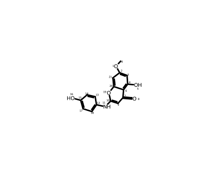 COc1cc(O)c2c(=O)cc(Nc3ccc(O)cc3)oc2c1